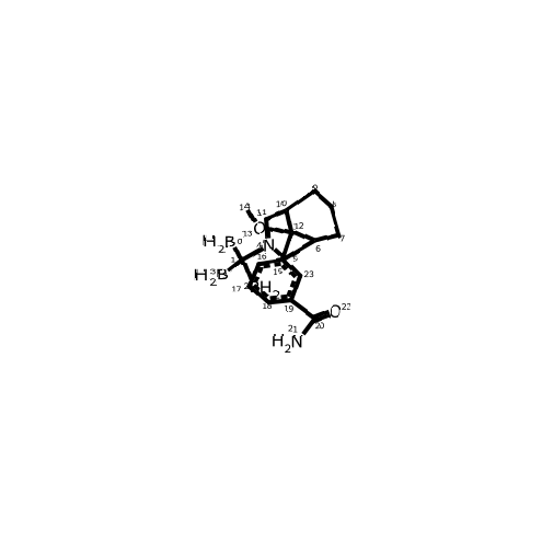 BC(B)(B)N1CC2CCCC(C1)C2(OC)c1cccc(C(N)=O)c1